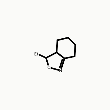 CCC1ON=C2CCCCC21